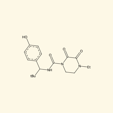 CCN1CCN(C(=O)NC(c2ccc(O)cc2)C(C)(C)C)C(=O)C1=O